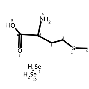 CSCCC(N)C(=O)O.[SeH2].[SeH2]